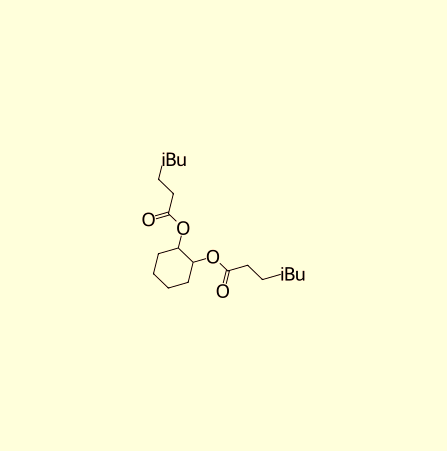 CCC(C)CCC(=O)OC1CCCCC1OC(=O)CCC(C)CC